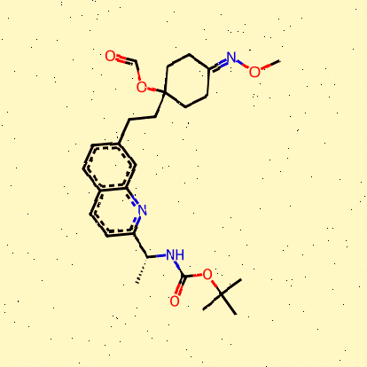 CON=C1CCC(CCc2ccc3ccc([C@@H](C)NC(=O)OC(C)(C)C)nc3c2)(OC=O)CC1